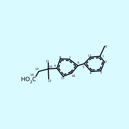 Cc1cccc(-c2ccc(C(C)(C)CC(=O)O)cc2)c1